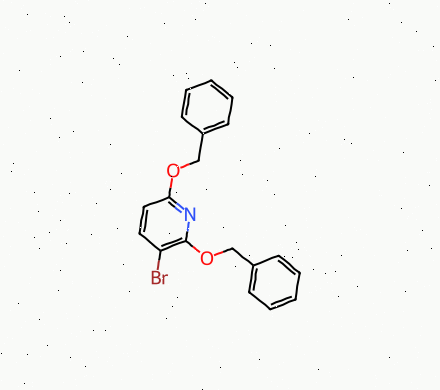 Brc1ccc(OCc2ccccc2)nc1OCc1ccccc1